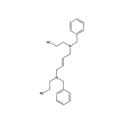 N#CCCN(CC=CCN(CCC#N)Cc1ccccc1)Cc1ccccc1